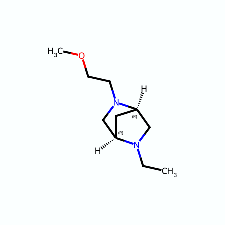 CCN1C[C@H]2C[C@@H]1CN2CCOC